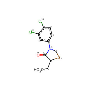 O=C(O)CC1SCN(c2ccc(Cl)c(Cl)c2)C1=O